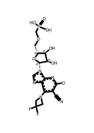 N#Cc1c(Cl)nc2c(ncn2[C@@H]2O[C@H](COCP(=O)(O)O)[C@@H](O)[C@H]2O)c1N1CC(F)(F)C1